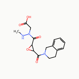 CNN(CC(=O)O)C(=O)C1OC1C(=O)N1CCc2ccccc2C1